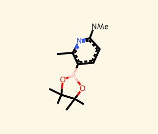 CNc1ccc(B2OC(C)(C)C(C)(C)O2)c(C)n1